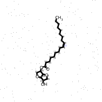 CCCCCCCC/C=C\CCCCCCCC(=O)OC1COC2C(O)COC12